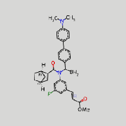 BC(c1ccc(-c2ccc(N(C)C)cc2)cc1)N(C(=O)C1C[C@H]2CC[C@@H]1C2)c1cc(F)cc(/C=C/C(=O)OC)c1